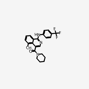 Cc1cccc2c(Nc3ccc(C(F)(F)F)cc3)ncc(C(=O)N3CCCCC3)c12